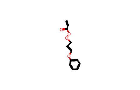 C=CC(=O)OOCC=COc1ccccc1